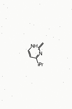 C=C/N=C(\C=C/N)C(C)C